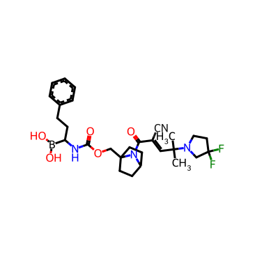 CC(C)(C=C(C#N)C(=O)N1C2CCC1(COC(=O)NC(CCc1ccccc1)B(O)O)CC2)N1CCC(F)(F)C1